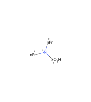 CCCN(CCC)S(=O)(=O)O